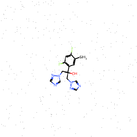 OC(Cn1cncn1)(Cn1cncn1)c1cc([SiH3])c(F)cc1F